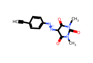 C#Cc1ccc(/N=N/C2C(=O)N(C)C(=O)N(C)C2=O)cc1